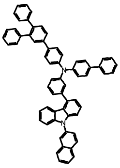 c1ccc(-c2ccc(N(c3ccc(-c4ccc(-c5ccccc5)c(-c5ccccc5)c4)cc3)c3cccc(-c4cccc5c4c4ccccc4n5-c4ccc5ccccc5c4)c3)cc2)cc1